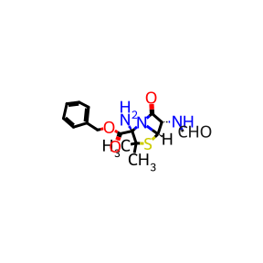 CC1(C)S[C@@H]2[C@@H](NC=O)C(=O)N2[C@@]1(N)C(=O)OCc1ccccc1